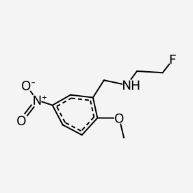 COc1ccc([N+](=O)[O-])cc1CNCCF